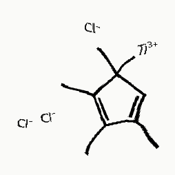 CC1=C[C](C)([Ti+3])C(C)=C1C.[Cl-].[Cl-].[Cl-]